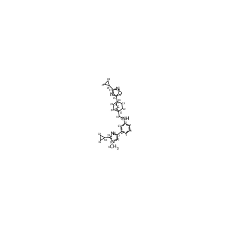 Cn1cc(-c2cccc(NCC34CCC(c5nc(C6CC6)no5)(CC3)CC4)c2)nc1C1CC1